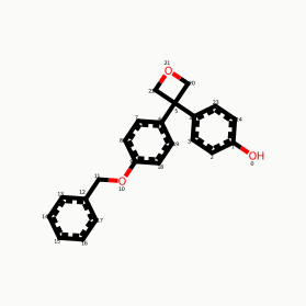 Oc1ccc(C2(c3ccc(OCc4ccccc4)cc3)COC2)cc1